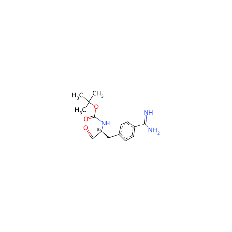 CC(C)(C)OC(=O)N[C@H](C=O)Cc1ccc(C(=N)N)cc1